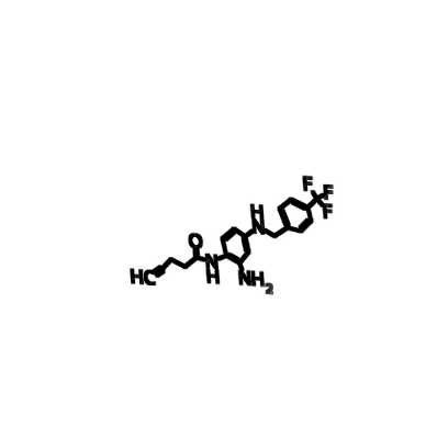 C#CCCC(=O)Nc1ccc(NCc2ccc(C(F)(F)F)cc2)cc1N